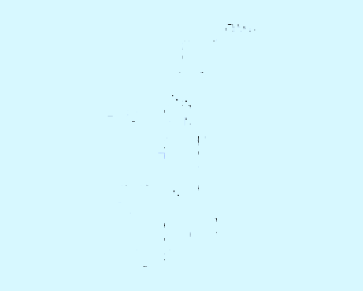 CCOC(=O)c1c(/C=C2/CN(C(c3ccccc3)(c3ccccc3)c3ccccc3)CCC2=O)nnn1Cc1ccc(OC)cc1